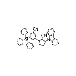 N#Cc1cc(-c2cccc(-n3c4ccccc4c4ccccc43)c2C#N)cc([Si](c2ccccc2)(c2ccccc2)c2ccccc2)c1